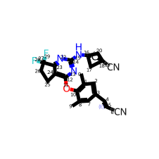 Cc1cc(/C=C/C#N)cc(C)c1Oc1nc(NC23CC(C#N)(C2)C3)nc2c1CCC2(F)F